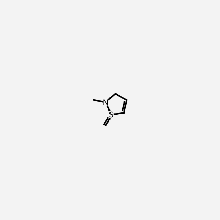 C=S1C=CCN1C